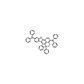 c1ccc(N(c2ccccc2)c2ccc3c(c2)oc2c4ccc(N(c5ccccc5)c5ccccc5)c5c4c(cc32)C(c2ccccc2)(c2ccccc2)CC5)cc1